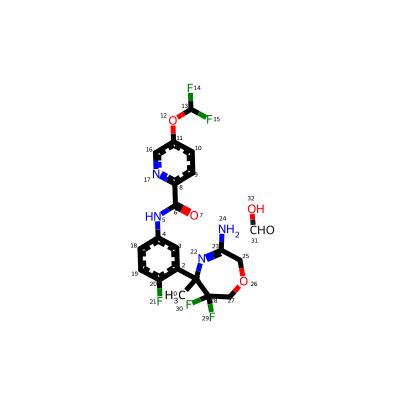 CC1(c2cc(NC(=O)c3ccc(OC(F)F)cn3)ccc2F)N=C(N)COCC1(F)F.O=CO